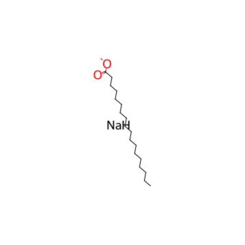 CCCCCCCCCCCCCCCCCC(=O)OC.[NaH]